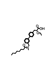 CCCCCCCC(=O)N(C)Cc1cccc(-c2ccc(CC(OCC)C(=O)O)cc2)c1